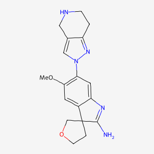 COc1cc2c(cc1-n1cc3c(n1)CCNC3)N=C(N)C21CCOC1